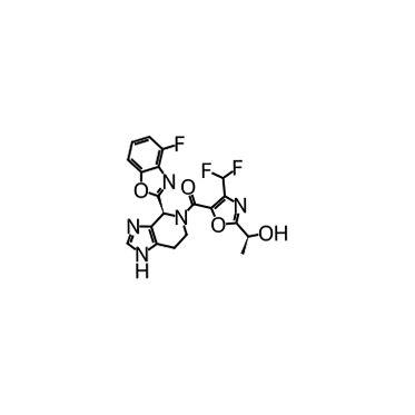 C[C@H](O)c1nc(C(F)F)c(C(=O)N2CCc3[nH]cnc3[C@H]2c2nc3c(F)cccc3o2)o1